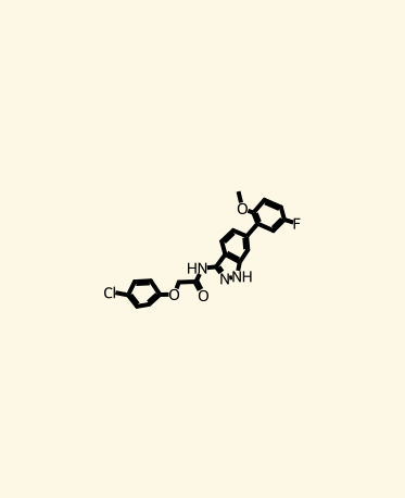 COc1ccc(F)cc1-c1ccc2c(NC(=O)COc3ccc(Cl)cc3)n[nH]c2c1